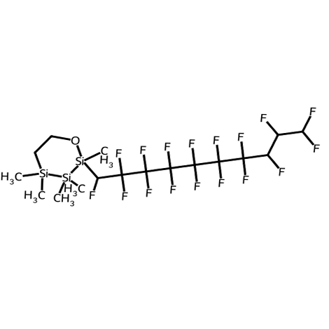 C[Si]1(C)CCO[Si](C)(C(F)C(F)(F)C(F)(F)C(F)(F)C(F)(F)C(F)(F)C(F)(F)C(F)C(F)C(F)F)[Si]1(C)C